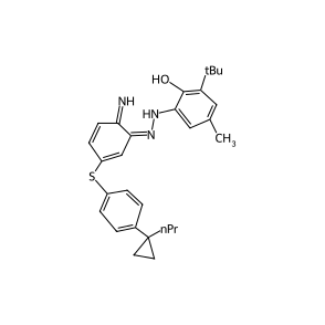 CCCC1(c2ccc(SC3=C/C(=N/Nc4cc(C)cc(C(C)(C)C)c4O)C(=N)C=C3)cc2)CC1